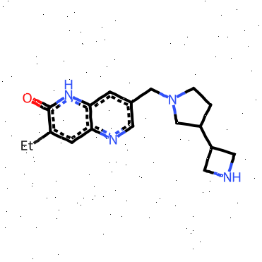 CCc1cc2ncc(CN3CCC(C4CNC4)C3)cc2[nH]c1=O